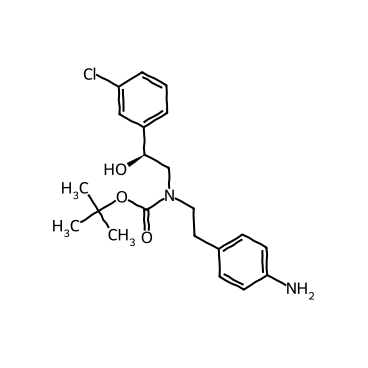 CC(C)(C)OC(=O)N(CCc1ccc(N)cc1)C[C@@H](O)c1cccc(Cl)c1